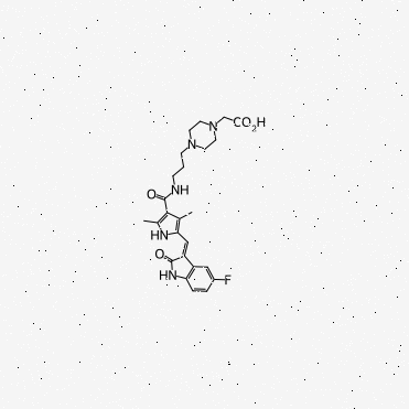 Cc1[nH]c(/C=C2\C(=O)Nc3ccc(F)cc32)c(C)c1C(=O)NCCCN1CCN(CC(=O)O)CC1